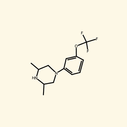 CC1CN(c2cccc(OC(F)(F)F)c2)CC(C)N1